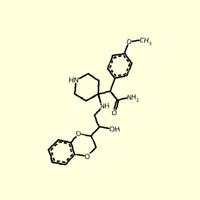 COc1ccc(C(C(N)=O)C2(NCC(O)C3COc4ccccc4O3)CCNCC2)cc1